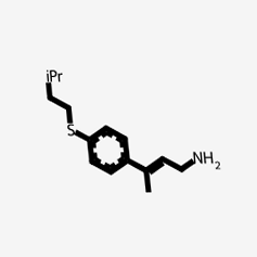 CC(=CCN)c1ccc(SCCC(C)C)cc1